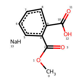 COC(=O)c1ccccc1C(=O)O.[NaH]